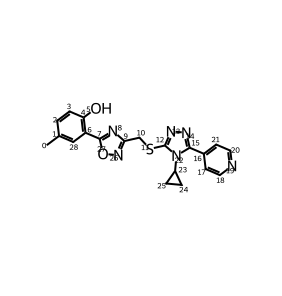 Cc1ccc(O)c(-c2nc(CSc3nnc(-c4ccncc4)n3C3CC3)no2)c1